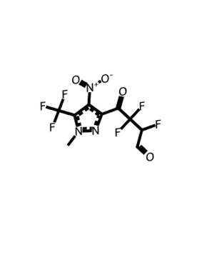 Cn1nc(C(=O)C(F)(F)C(F)C=O)c([N+](=O)[O-])c1C(F)(F)F